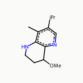 COC1CCNc2c1ncc(C(C)C)c2C